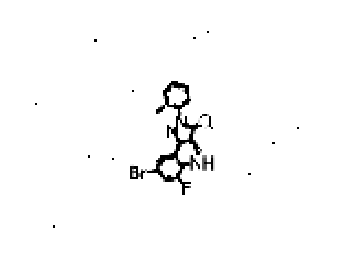 Cc1ccccc1-n1nc2c3cc(Br)cc(F)c3[nH]cc-2c1=O